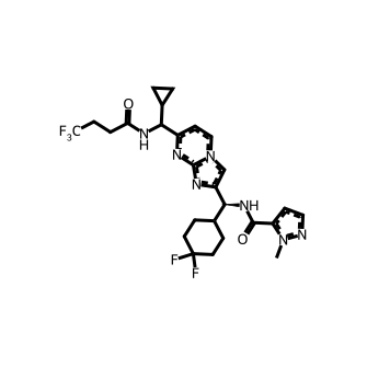 Cn1nccc1C(=O)N[C@H](c1cn2ccc(C(NC(=O)CCC(F)(F)F)C3CC3)nc2n1)C1CCC(F)(F)CC1